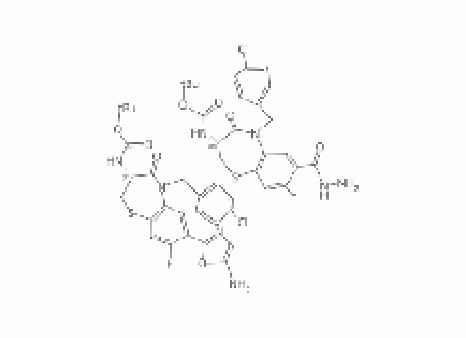 CC(C)(C)OC(=O)N[C@H]1CSc2cc(F)c(-c3nnc(N)o3)cc2N(Cc2ccc(Cl)cc2)C1=O.CC(C)(C)OC(=O)N[C@H]1CSc2cc(F)c(C(=O)NN)cc2N(Cc2ccc(Cl)cc2)C1=O